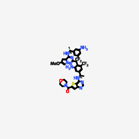 COc1cc2c(N[C@H](C)c3cc(N)cc(C(F)(F)F)c3)nc(Cc3c(N)cc([C@@H](C)Nc4ncnc5cc(C(=O)N6CCOCC6)sc45)cc3C(F)(F)F)nn2c1